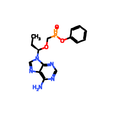 CC[C@@H](OC[PH](=O)Oc1ccccc1)n1cnc2c(N)ncnc21